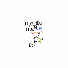 CCc1csc(S(=O)(=O)N[Si](C)(C)C(C)(C)C)c1